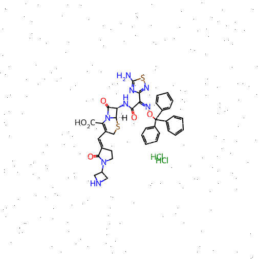 Cl.Cl.Nc1nc(/C(=N/OC(c2ccccc2)(c2ccccc2)c2ccccc2)C(=O)N[C@@H]2C(=O)N3C(C(=O)O)=C(/C=C4\CCN(C5CNC5)C4=O)CS[C@H]23)ns1